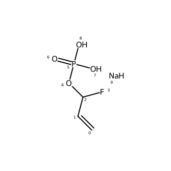 C=CC(F)OP(=O)(O)O.[NaH]